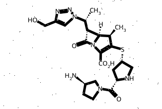 C[C@H]([C@H]1C(=O)N2C(C(=O)O)=C(S[C@@H]3CN[C@H](C(=O)N4CC[C@@H](N)C4)C3)[C@H](C)[C@H]12)n1cc(CO)nn1